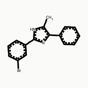 Cc1[nH]c(-c2cccc(Br)c2)nc1-c1ccccc1